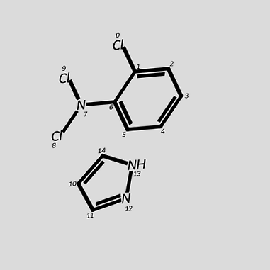 Clc1ccccc1N(Cl)Cl.c1cn[nH]c1